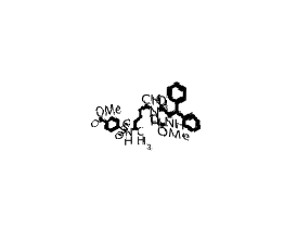 COC(=O)NC(C(=O)NC(C)CCCC(C)NS(=O)(=O)c1ccc(C(=O)OC)cc1)C(c1ccccc1)c1ccccc1